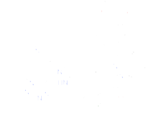 CCOc1cc(C2=NN(C(=O)c3ccc(NN=C(C#N)c4nnn[nH]4)cc3Cl)CCC2)ccc1OC